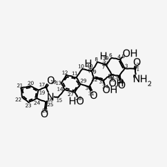 NC(=O)C1=C(O)C[C@@H]2C[C@@H]3Cc4ccc(CN5C(=O)c6ccccc6C5=O)c(O)c4C(=O)C3=C(O)[C@]2(O)C1=O